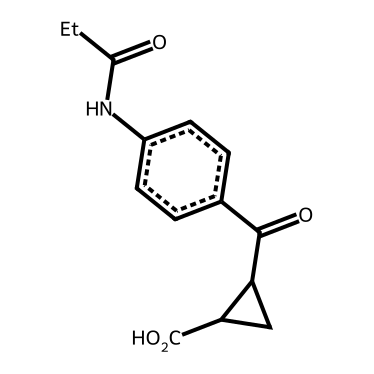 CCC(=O)Nc1ccc(C(=O)C2CC2C(=O)O)cc1